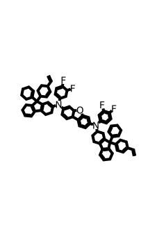 C=CC1=CC=C(C2(C3=CCCC=C3)C3=C(C=CCC3)C3=C2CC(N(c2ccc(F)c(F)c2)c2ccc4c(c2)OC2C=C(N(C5=CC6=C(CC5)C5=C(CCC=C5)C6(C5=CCCCC5)C5C=CC(C=C)CC5)C5=CC=C(F)C(F)C5)C=CC42)CC3)CC1